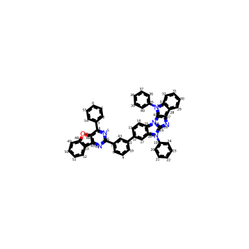 c1ccc(-c2nc(-c3cccc(-c4ccc5c(c4)n(-c4ccccc4)c4nc6c7ccccc7n(-c7ccccc7)c6n54)c3)nc3c2oc2ccccc23)cc1